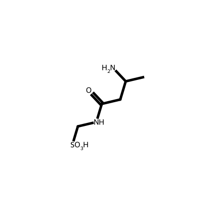 CC(N)CC(=O)NCS(=O)(=O)O